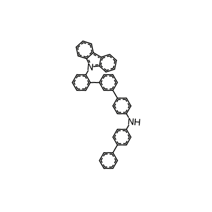 c1ccc(-c2ccc(Nc3ccc(-c4cccc(-c5ccccc5-n5c6ccccc6c6ccccc65)c4)cc3)cc2)cc1